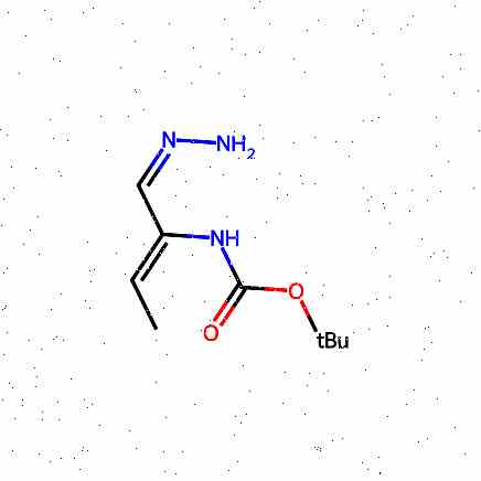 C/C=C(/C=N\N)NC(=O)OC(C)(C)C